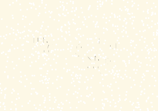 CC(O)C1C(=O)N2C(C(=O)O)=C(C[S+]([O-])CCCOC(N)=O)CC12